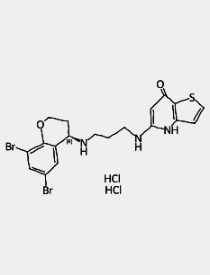 Cl.Cl.O=c1cc(NCCCN[C@@H]2CCOc3c(Br)cc(Br)cc32)[nH]c2ccsc12